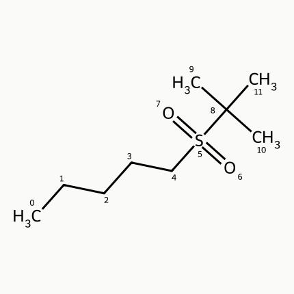 CCCCCS(=O)(=O)C(C)(C)C